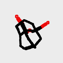 O=C1OC(=O)C23CC=CCC(CCC2)C13